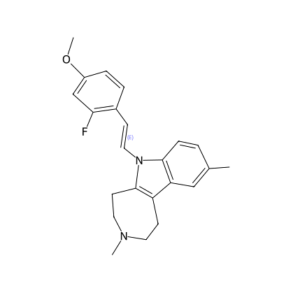 COc1ccc(/C=C/n2c3c(c4cc(C)ccc42)CCN(C)CC3)c(F)c1